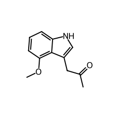 COc1cccc2[nH]cc(CC(C)=O)c12